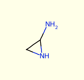 NC1CN1